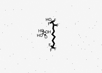 O=P(O)(O)O.OC(F)(F)C(F)CCCCCCC(F)(F)F